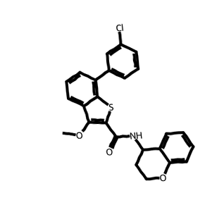 COc1c(C(=O)NC2CCOc3ccccc32)sc2c(-c3cccc(Cl)c3)cccc12